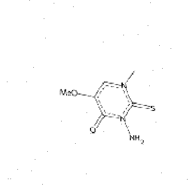 COc1cn(C)c(=S)n(N)c1=O